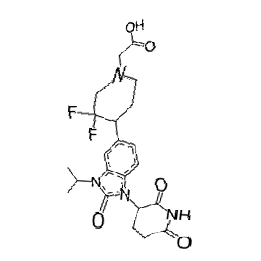 CC(C)n1c(=O)n(C2CCC(=O)NC2=O)c2ccc(C3CCN(CC(=O)O)CC3(F)F)cc21